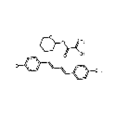 C=C(C)C(=O)OC1CCCCO1.Cc1ccc(C=CC=Cc2ccc(O)cc2)cc1